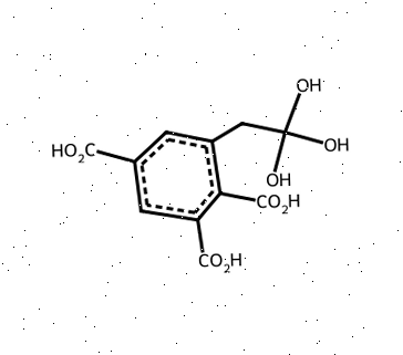 O=C(O)c1cc(CC(O)(O)O)c(C(=O)O)c(C(=O)O)c1